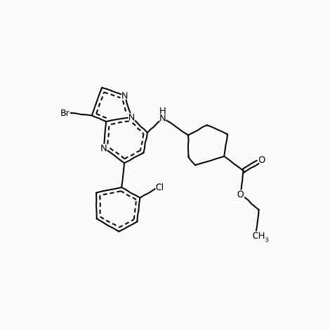 CCOC(=O)C1CCC(Nc2cc(-c3ccccc3Cl)nc3c(Br)cnn23)CC1